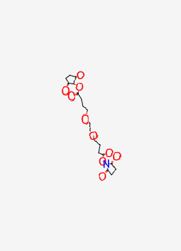 O=C(CCCOCCOCCCC(=O)ON1C(=O)CCC1=O)OC1C(=O)CCC1=O